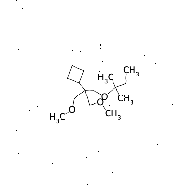 CCC(C)(C)OCC(COC)(COC)C1CCC1